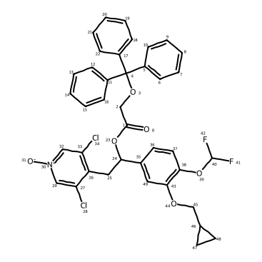 O=C(COC(c1ccccc1)(c1ccccc1)c1ccccc1)OC(Cc1c(Cl)c[n+]([O-])cc1Cl)c1ccc(OC(F)F)c(OCC2CC2)c1